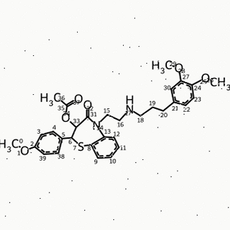 COc1ccc(C2Sc3ccccc3N(CCNCCCc3ccc(OC)c(OC)c3)C(=O)C2OC(C)=O)cc1